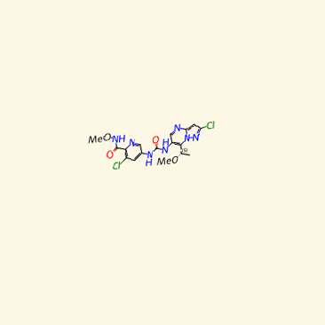 CONC(=O)c1ncc(NC(=O)Nc2cnc3cc(Cl)nn3c2[C@H](C)OC)cc1Cl